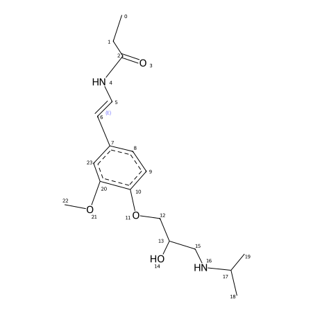 CCC(=O)N/C=C/c1ccc(OCC(O)CNC(C)C)c(OC)c1